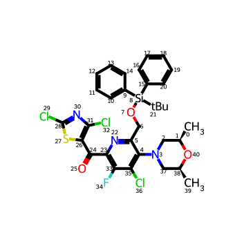 C[C@@H]1CN(c2c(CO[Si](c3ccccc3)(c3ccccc3)C(C)(C)C)nc(C(=O)c3sc(Cl)nc3Cl)c(F)c2Cl)C[C@H](C)O1